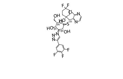 OC[C@H]1O[C@@H](S[C@@H](c2nccnc2Cl)C2(O)CCC(F)(F)CC2)[C@H](O)[C@@H](n2cc(-c3cc(F)c(F)c(F)c3)nn2)[C@H]1O